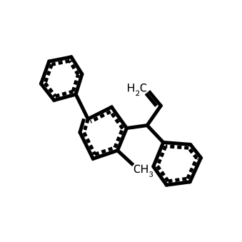 C=CC(c1ccccc1)c1cc(-c2ccccc2)ccc1C